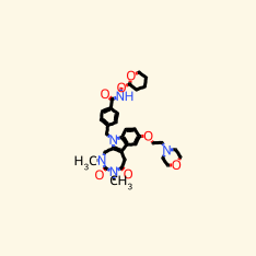 CN1Cc2c(c3cc(OCCN4CCOCC4)ccc3n2Cc2ccc(C(=O)NOC3CCCCO3)cc2)CC(=O)N(C)C1=O